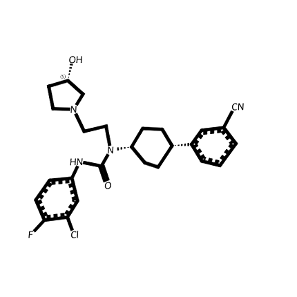 N#Cc1cccc([C@H]2CC[C@@H](N(CCN3CC[C@H](O)C3)C(=O)Nc3ccc(F)c(Cl)c3)CC2)c1